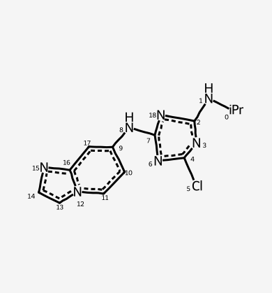 CC(C)Nc1nc(Cl)nc(Nc2ccn3ccnc3c2)n1